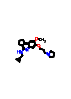 COc1cc2c3c(c(NCC4CC4)nc2cc1OCCCN1CCCC1)CCC3